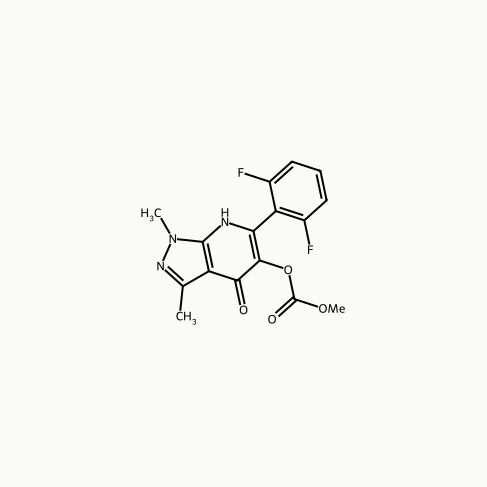 COC(=O)Oc1c(-c2c(F)cccc2F)[nH]c2c(c(C)nn2C)c1=O